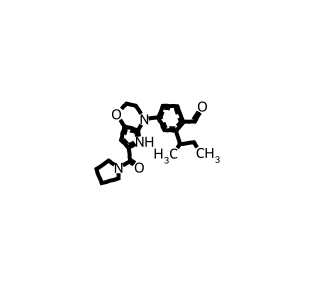 CCC(C)c1cc(N2CCOc3cc(C(=O)N4CCCC4)[nH]c32)ccc1C=O